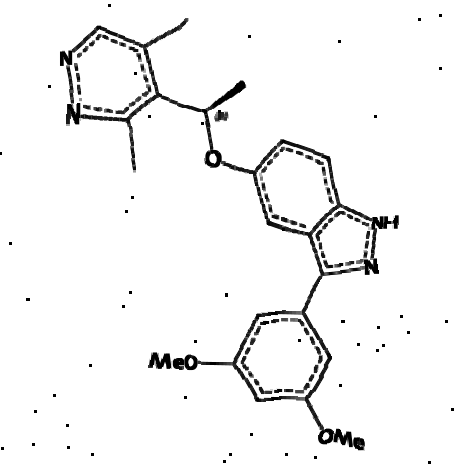 COc1cc(OC)cc(-c2n[nH]c3ccc(O[C@H](C)c4c(C)cnnc4C)cc23)c1